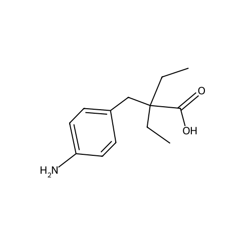 CCC(CC)(Cc1ccc(N)cc1)C(=O)O